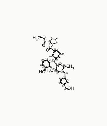 COC(=O)[C@@H]1CCCN1C(=O)c1cccc(C(c2cccc(O)c2)N2C[C@@H](C)N(Cc3ccc(CO)o3)C[C@@H]2C)c1